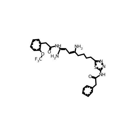 N/C(=C\C=C(/N)NC(=O)Cc1ccccc1OC(F)(F)F)CCCCc1nnc(NC(=O)Cc2ccccc2)s1